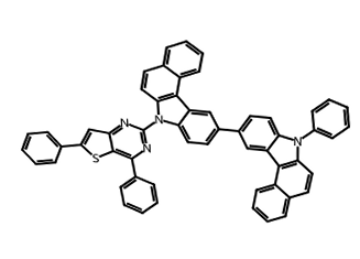 c1ccc(-c2cc3nc(-n4c5ccc(-c6ccc7c(c6)c6c8ccccc8ccc6n7-c6ccccc6)cc5c5c6ccccc6ccc54)nc(-c4ccccc4)c3s2)cc1